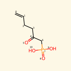 C=CCCC(=O)CP(=O)(O)O